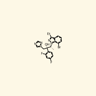 CCc1nn([C@H](C)[C@](O)(Cn2cncn2)c2ccc(F)cc2F)c2c(Br)cccc12